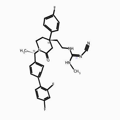 CN/C(=N/C#N)NCC[C@]1(c2ccc(F)cc2)CCN([C@@H](C)c2ccc(-c3ccc(F)cc3F)cc2)C(=O)C1